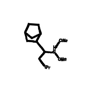 CO[SiH](OC)C(CC(C)C)C1CC2CCC1C2